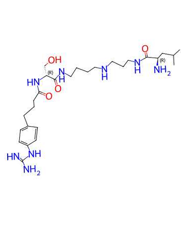 CC(C)C[C@@H](N)C(=O)NCCCNCCCCNC(=O)[C@@H](CO)NC(=O)CCCc1ccc(NC(=N)N)cc1